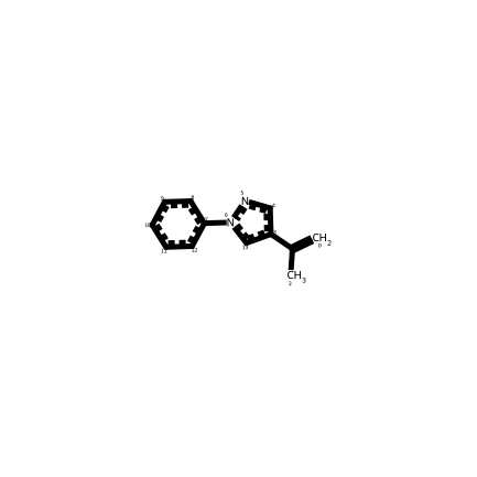 C=C(C)c1cnn(-c2ccccc2)c1